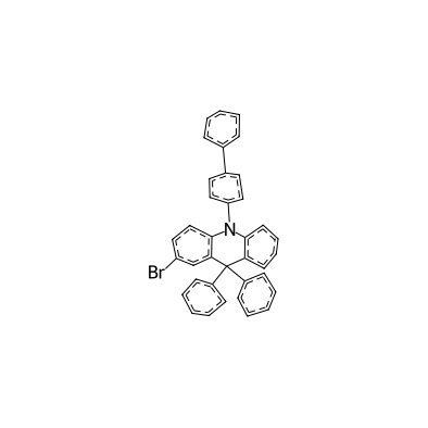 Brc1ccc2c(c1)C(c1ccccc1)(c1ccccc1)c1ccccc1N2c1ccc(-c2ccccc2)cc1